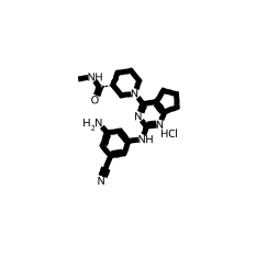 CNC(=O)[C@@H]1CCCN(c2nc(Nc3cc(N)cc(C#N)c3)nc3c2CCC3)C1.Cl